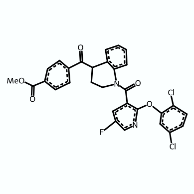 COC(=O)c1ccc(C(=O)C2CCN(C(=O)c3cc(F)cnc3Oc3cc(Cl)ccc3Cl)c3ccccc32)cc1